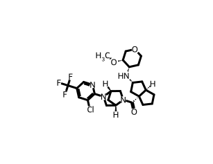 CO[C@@H]1COCC[C@@H]1N[C@@H]1C[C@H]2CCC[C@@]2(C(=O)N2C[C@@H]3C[C@H]2CN3c2ncc(C(F)(F)F)cc2Cl)C1